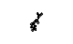 c1ccc(-n2c3ccccc3c3cc(-c4ccc5c(c4)c4ccccc4n5-c4ccc5c6ccccc6n(-c6cccc([Si](c7ccccc7)(c7ccccc7)c7ccccc7)c6)c5c4)ccc32)cc1